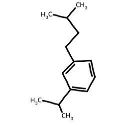 CC(C)CCc1cccc(C(C)C)c1